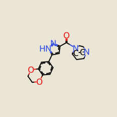 O=C(c1cc(-c2ccc3c(c2)OCCO3)[nH]n1)N1CCN2CCC1CC2